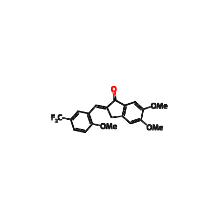 COc1ccc(C(F)(F)F)cc1/C=C1\Cc2cc(OC)c(OC)cc2C1=O